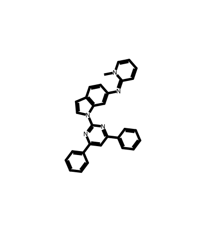 Cn1cccc/c1=N/c1ccc2ccn(-c3nc(-c4ccccc4)cc(-c4ccccc4)n3)c2c1